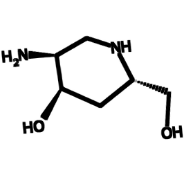 N[C@H]1CN[C@H](CO)C[C@H]1O